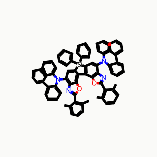 Cc1cccc(C)c1-c1nc2c(N(c3ccccc3)c3ccccc3-c3ccccc3)cc3c(c2o1)-c1c(cc(N(c2ccccc2)c2ccccc2-c2ccccc2)c2nc(-c4c(C)cccc4C)oc12)[Si]3(c1ccccc1)c1ccccc1